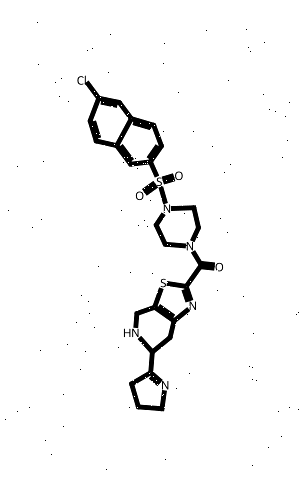 O=C(c1nc2c(s1)CNC(C1=NCCC1)C2)N1CCN(S(=O)(=O)c2ccc3cc(Cl)ccc3c2)CC1